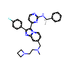 C[C@H](Nc1nccc(-c2c(-c3ccc(F)cc3)nc3cc(CN(C)CCN4CCC4)ccn23)n1)c1ccccc1